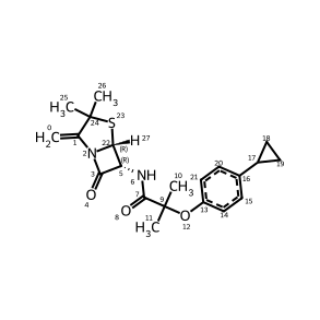 C=C1N2C(=O)[C@@H](NC(=O)C(C)(C)Oc3ccc(C4CC4)cc3)[C@H]2SC1(C)C